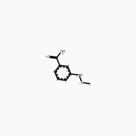 CONc1cccc(C(=O)O)c1